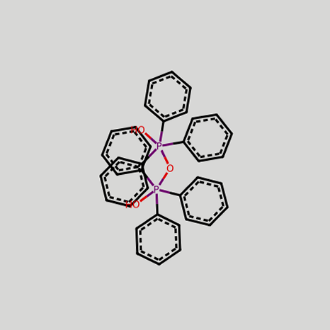 OP(OP(O)(c1ccccc1)(c1ccccc1)c1ccccc1)(c1ccccc1)(c1ccccc1)c1ccccc1